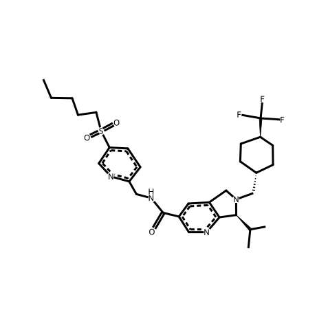 CCCCCS(=O)(=O)c1ccc(CNC(=O)c2cnc3c(c2)CN(C[C@H]2CC[C@H](C(F)(F)F)CC2)[C@H]3C(C)C)nc1